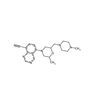 CC1CN(c2ccc(C#N)c3ncncc23)CC(CN2CCN(C)CC2)O1